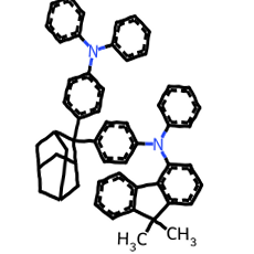 CC1(C)c2ccccc2-c2c(N(c3ccccc3)c3ccc(C4(c5ccc(N(c6ccccc6)c6ccccc6)cc5)C5CC6CC(C5)CC4C6)cc3)cccc21